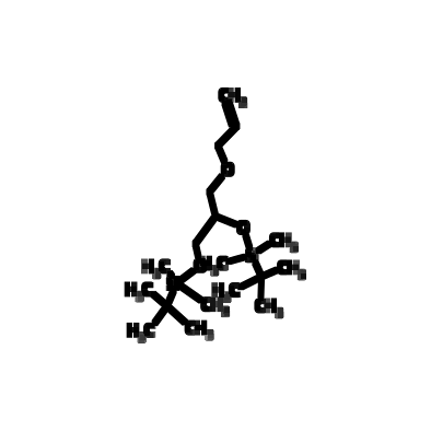 C=CCOCC(CO[Si](C)(C)C(C)(C)C)O[Si](C)(C)C(C)(C)C